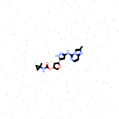 Cc1cn2c(Nc3cc([C@@H]4OC[C@H](OC(=O)NC5(C)CC5)[C@@H]4F)[nH]n3)nccc2n1